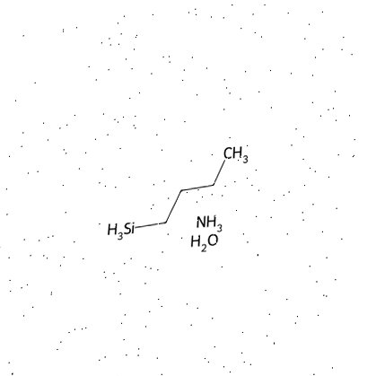 CCCC[SiH3].N.O